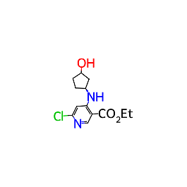 CCOC(=O)c1cnc(Cl)cc1N[C@H]1CCC(O)C1